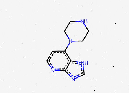 c1cc(N2CCNCC2)c2[nH]cnc2n1